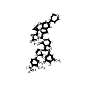 CCP(=O)(CC)c1ccc(-n2ccn(-c3c4c(nn3-c3cc(C)c(F)c(C)c3)CCN(C(=O)c3cc5cc(C6CCOCC6)ccc5n3C3(c5noc(=O)[nH]5)CC3C)C4C)c2=O)cc1OC